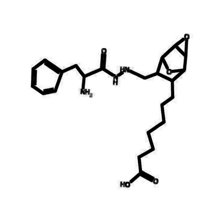 NC(Cc1ccccc1)C(=O)NNCC1C(CCCCCCC(=O)O)C2OC1C1OC21